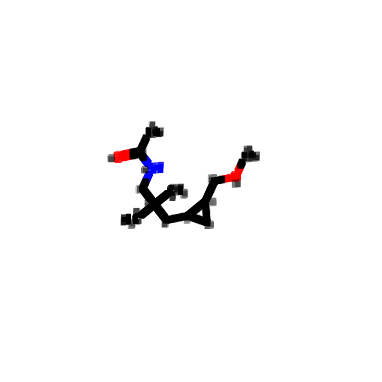 CC(C)(CNC(=O)C(C)(C)C)CC1CC1COC(C)(C)C